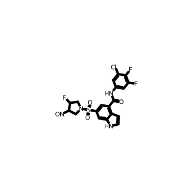 O=NC1CN(S(=O)(=O)c2cc(C(=O)Nc3cc(F)c(F)c(Cl)c3)c3cc[nH]c3c2)CC1F